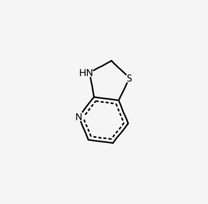 c1cnc2c(c1)SCN2